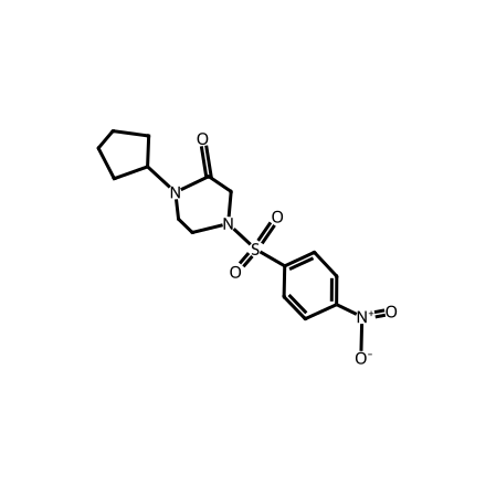 O=C1CN(S(=O)(=O)c2ccc([N+](=O)[O-])cc2)CCN1C1CCCC1